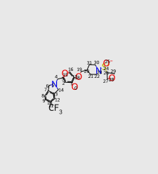 O=c1cc(CN2Cc3ccc(C(F)(F)F)cc3C2)occ1OCC1CCN([S+]([O-])C2COC2)CC1